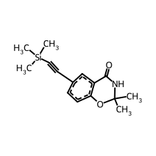 CC1(C)NC(=O)c2cc(C#C[Si](C)(C)C)ccc2O1